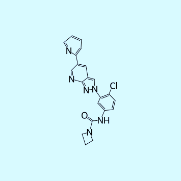 O=C(Nc1ccc(Cl)c(-n2cc3cc(-c4ccccn4)cnc3n2)c1)N1CCC1